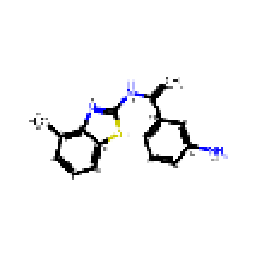 C=C(Nc1nc2c(C)cccc2s1)c1cccc(N)c1